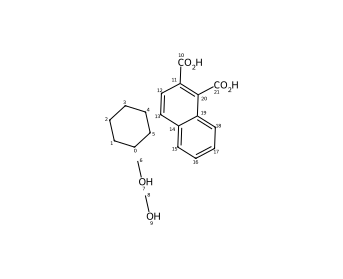 C1CCCCC1.CO.CO.O=C(O)c1ccc2ccccc2c1C(=O)O